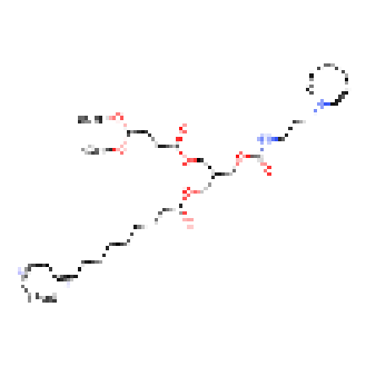 CCCCC/C=C\C/C=C\CCCCCCCC(=O)OCC(COC(=O)CCC(OCCCCCCCC)OCCCCCCCC)COC(=O)NCCCN1C=CCCC=C1